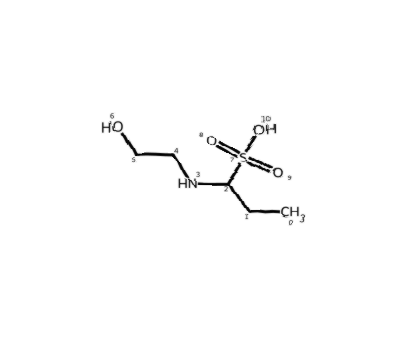 CCC(NCCO)S(=O)(=O)O